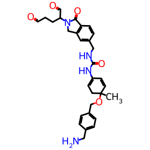 CC1(OCc2ccc(CN)cc2)C=CC(NC(=O)NCc2ccc3c(c2)CN(C(C=O)CCC=O)C3=O)=CC1